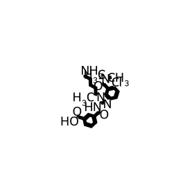 C[C@H](CCCCN)n1c(NC(=O)c2cccc(C(=O)O)c2)nc2ccc(Cl)c(C(=O)N(C)C)c21